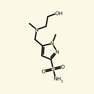 CN(CCO)Cc1cc(S(N)(=O)=O)nn1C